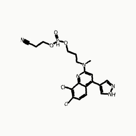 CN(CCCO[PH](=O)OCCC#N)c1cc(-c2cn[nH]c2)c2ccc(Cl)c(Cl)c2n1